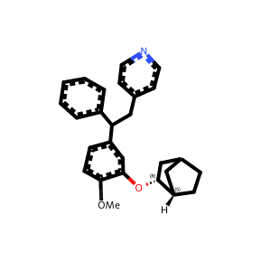 COc1ccc(C(Cc2ccncc2)c2ccccc2)cc1O[C@@H]1CC2CC[C@H]1C2